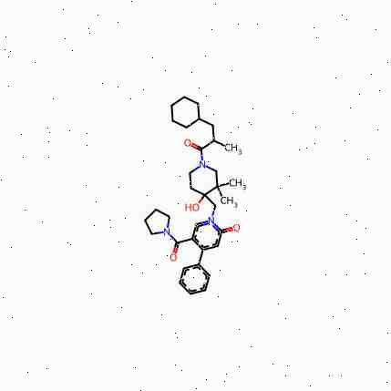 CC(CC1CCCCC1)C(=O)N1CCC(O)(Cn2cc(C(=O)N3CCCC3)c(-c3ccccc3)cc2=O)C(C)(C)C1